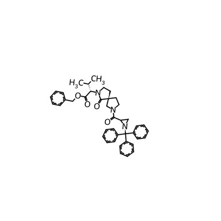 CC(C)[C@@H](C(=O)OCc1ccccc1)N1CC[C@]2(CCN(C(=O)C3C[N@@]3C(c3ccccc3)(c3ccccc3)c3ccccc3)C2)C1=O